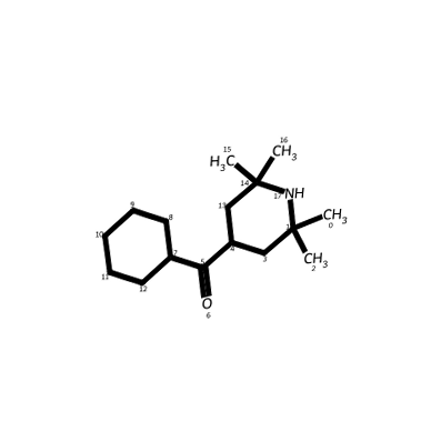 CC1(C)CC(C(=O)C2CCCCC2)CC(C)(C)N1